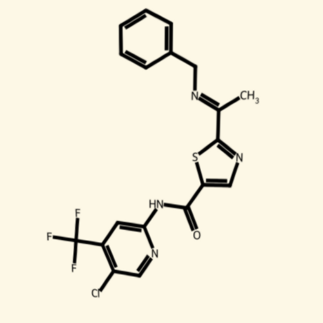 C/C(=N\Cc1ccccc1)c1ncc(C(=O)Nc2cc(C(F)(F)F)c(Cl)cn2)s1